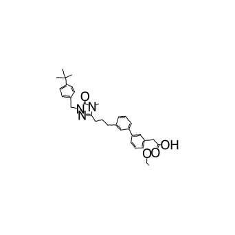 CCOc1ccc(-c2cccc(CCCc3nn(Cc4ccc(C(C)(C)C)cc4)c(=O)n3C)c2)cc1CC(=O)O